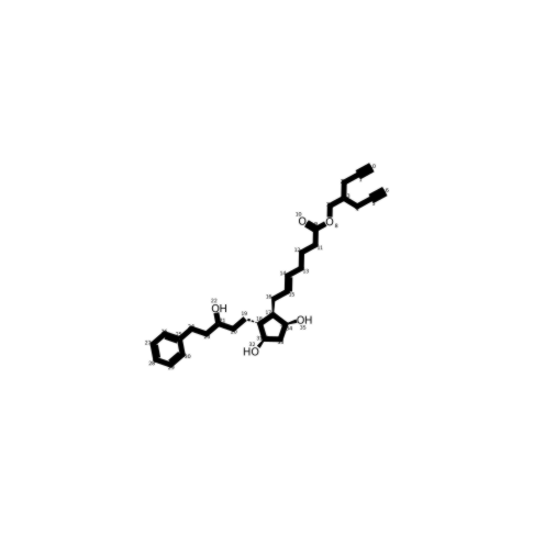 C#CCC(CC#C)COC(=O)CCCC=CC[C@@H]1[C@@H](CCC(O)CCc2ccccc2)[C@H](O)C[C@@H]1O